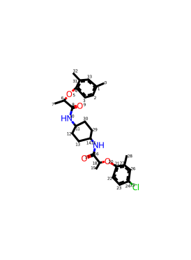 Cc1ccc(OC(C)C(=O)NC2CCC(NC(=O)C(C)Oc3ccc(Cl)cc3C)CC2)c(C)c1